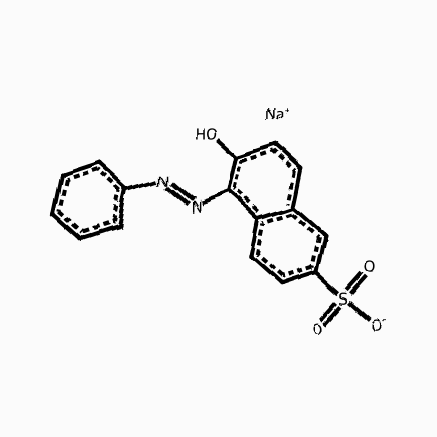 O=S(=O)([O-])c1ccc2c(N=Nc3ccccc3)c(O)ccc2c1.[Na+]